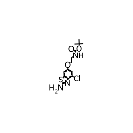 CC(C)(C)OC(=O)NCCOc1cc(Cl)c2nc(N)sc2c1